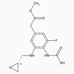 COC(=O)Cc1cc(F)c(NC(=O)O)c(NC[C@@H]2CO2)c1